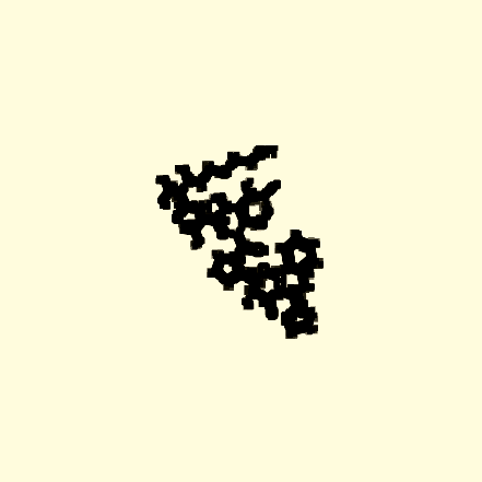 CC[C@H](C)[C@@H]([C@@H](CC(=O)N1CCCC1[C@H](OC)[C@@H](C)C(=O)N[C@@H](Cc1ccccc1)c1nccs1)OC)N(C)C(=O)C(NC(=O)C(C(C)C)N(C)CCOCCO)C(C)C